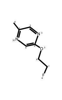 Cc1cnc(OCCF)cn1